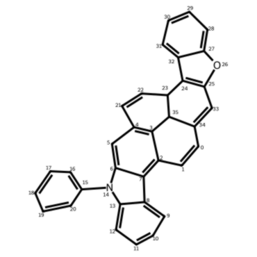 C1=Cc2c3c(cc4c2c2ccccc2n4-c2ccccc2)C=CC2c4c(oc5ccccc45)C=C1C32